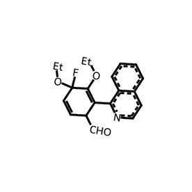 CCOC1=C(c2nccc3ccccc23)C(C=O)C=CC1(F)OCC